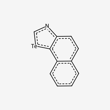 c1ccc2c(c1)ccc1nc[te]c12